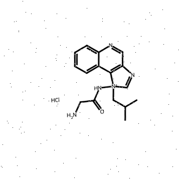 CC(C)C[N+]1(NC(=O)CN)C=Nc2cnc3ccccc3c21.Cl